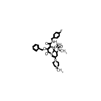 CN1CCN(c2cc(N(C)S(C)(=O)=O)c3nc(C(=O)NCc4ccc(F)cc4)c(OCc4ccccc4)c(=O)n3c2)CC1